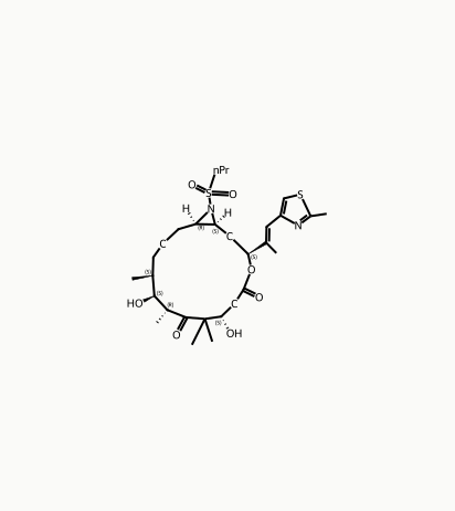 CCCS(=O)(=O)N1[C@@H]2CCC[C@H](C)[C@H](O)[C@@H](C)C(=O)C(C)(C)[C@@H](O)CC(=O)O[C@H](C(C)=Cc3csc(C)n3)C[C@@H]21